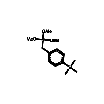 CO[Si](Cc1ccc([Si](C)(C)C)cc1)(OC)OC